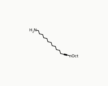 CCCCCCCCC#CCCCCCCCCCCCCN